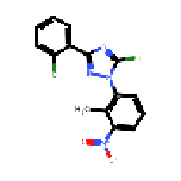 Cc1c(-n2nc(-c3ccccc3Cl)nc2Cl)cccc1[N+](=O)[O-]